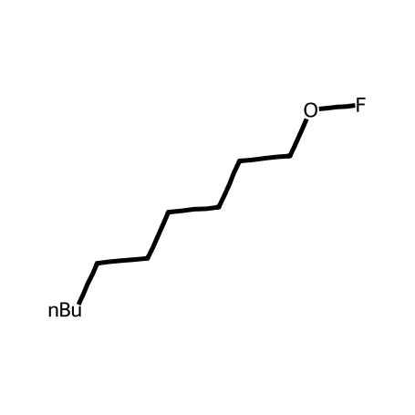 CCCCCCCCCCOF